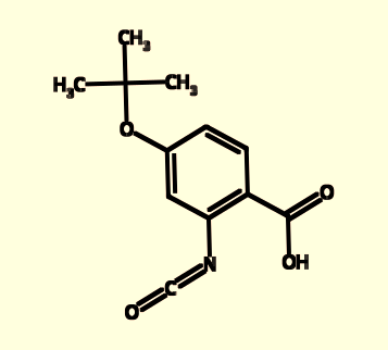 CC(C)(C)Oc1ccc(C(=O)O)c(N=C=O)c1